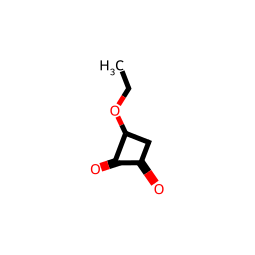 CCOC1CC(=O)C1=O